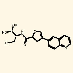 CC(C)C[C@H](NC(=O)C1CC(c2ccc3ncccc3c2)=NO1)B(O)O